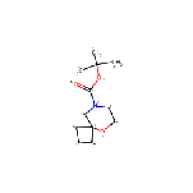 CC(C)(C)OC(=O)N1CCOC2(CCC2)C1